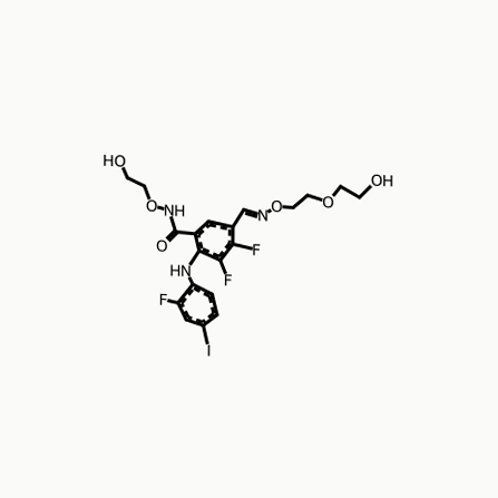 O=C(NOCCO)c1cc(/C=N/OCCOCCO)c(F)c(F)c1Nc1ccc(I)cc1F